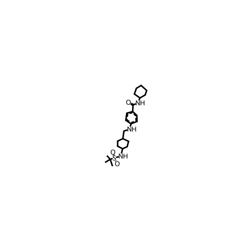 CC(C)(C)S(=O)(=O)NC1CCC(CNc2ccc(C(=O)NC3CCCCC3)cc2)CC1